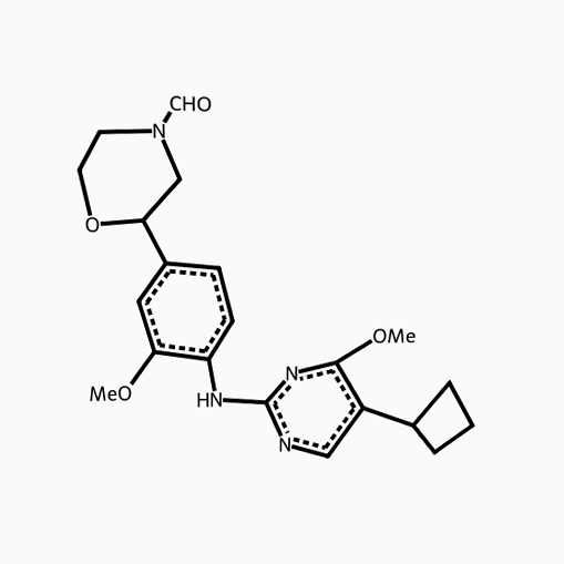 COc1cc(C2CN(C=O)CCO2)ccc1Nc1ncc(C2CCC2)c(OC)n1